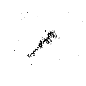 C=CC(=O)CCCCCOc1ccc(C(=O)O/C(C)=C/C=C(/OC(=O)C(=C)/C=C\C(OC(=O)C=C)=C(C)C)C(=C)C#N)cc1